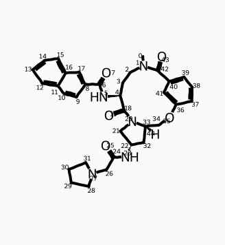 CN1CC[C@H](NC(=O)c2ccc3ccccc3c2)C(=O)N2C[C@@H](NC(=O)CN3CCCC3)C[C@H]2COc2cccc(c2)C1=O